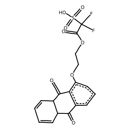 O=C1c2cccc(OCCOC(=O)C(F)(F)S(=O)(=O)O)c2C(=O)C2C=CC=CC12